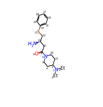 CCN(CC)C1CCN(C(=O)C[C@@H](N)CSc2ccccc2)CC1